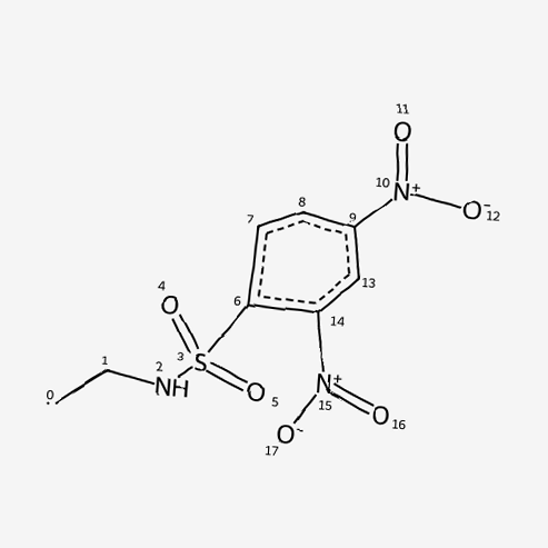 [CH2]CNS(=O)(=O)c1ccc([N+](=O)[O-])cc1[N+](=O)[O-]